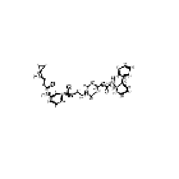 O=C(CCNC1CC1)Nc1cccc(C(=O)NCCN2CCC(OC(=O)Nc3ccccc3-c3ccccc3)CC2)c1